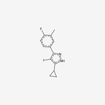 Cc1cc(-c2n[nH]c(C3CC3)c2I)ccc1F